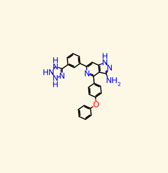 Nc1n[nH]c2cc(-c3cccc(C4=NNNN4)c3)nc(-c3ccc(Oc4ccccc4)cc3)c12